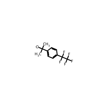 CC(C)([O])c1ccc(C(F)(F)C(F)(F)F)cc1